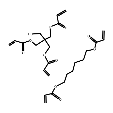 C=CC(=O)OCC(CO)(COC(=O)C=C)COC(=O)C=C.C=CC(=O)OCCCCCCOC(=O)C=C